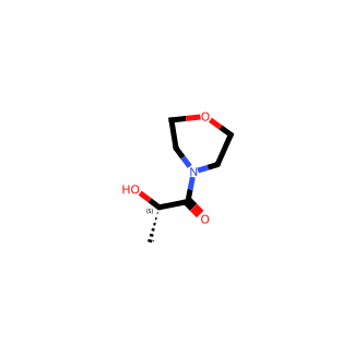 [CH2][C@H](O)C(=O)N1CCOCC1